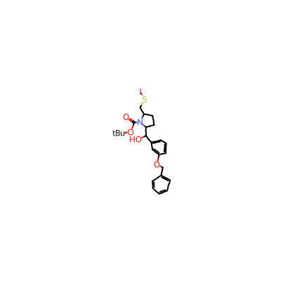 CC(C)(C)OC(=O)N1C(CSI)CCC1C(O)c1cccc(OCc2ccccc2)c1